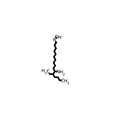 CCCCC(CC)C(N)CCCCCCCCCC=NO